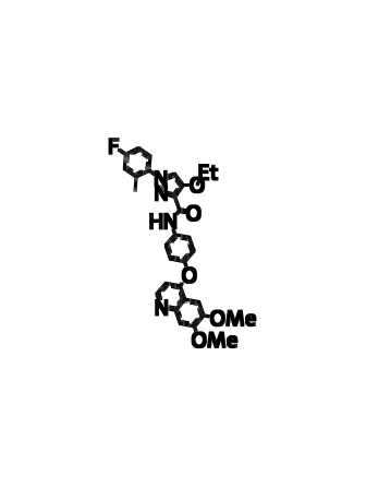 CCOc1cn(-c2ccc(F)cc2C)nc1C(=O)Nc1ccc(Oc2ccnc3cc(OC)c(OC)cc23)cc1